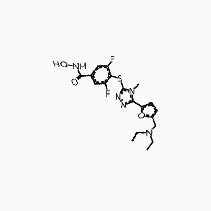 CCN(CC)Cc1ccc(-c2nnc(Sc3c(F)cc(C(=O)NO)cc3F)n2C)o1